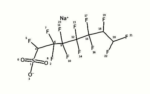 O=S(=O)([O-])C(F)C(F)(F)C(F)(F)C(F)(F)C(F)(F)C(F)C(F)F.[Na+]